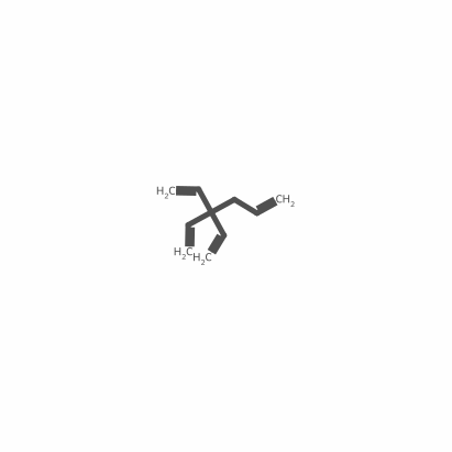 C=CCC(C=C)(C=C)C=C